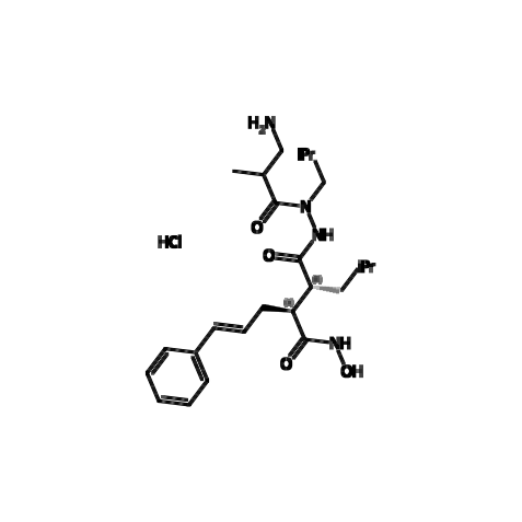 CC(C)C[C@@H](C(=O)NN(CC(C)C)C(=O)C(C)CN)[C@H](CC=Cc1ccccc1)C(=O)NO.Cl